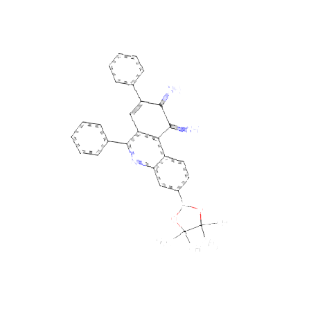 CC1(C)OB(c2ccc3c4c(c(-c5ccccc5)nc3c2)C=C(c2ccccc2)C(=N)C4=N)OC1(C)C